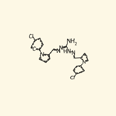 NC(=NN=Cc1cccn1-c1ccc(Cl)cc1)NN=Cc1cccn1-c1ccc(Cl)cc1